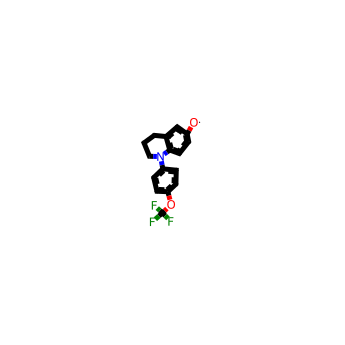 [O]c1ccc2c(c1)CCCN2c1ccc(OC(F)(F)F)cc1